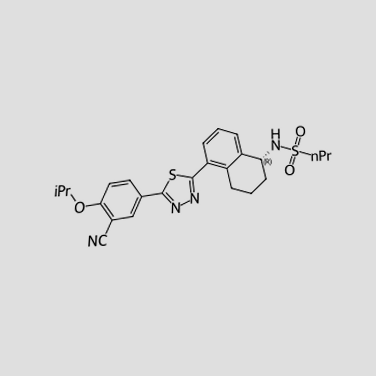 CCCS(=O)(=O)N[C@@H]1CCCc2c(-c3nnc(-c4ccc(OC(C)C)c(C#N)c4)s3)cccc21